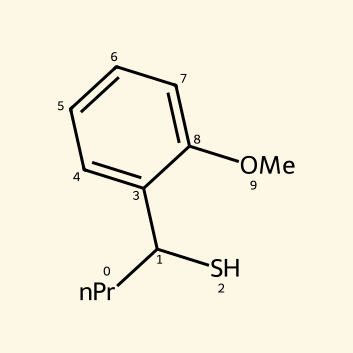 [CH2]CCC(S)c1ccccc1OC